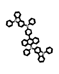 C1=CC(N(c2ccccc2)c2ccc3c(c2)c2ccccc2n3-c2ccccc2)CC=C1c1c2ccccc2c(N(c2ccccc2)c2ccc3c(c2)c2ccccc2n3-c2ccccc2)c2ccccc12